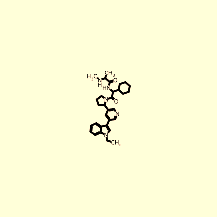 CCn1cc(-c2cncc(C3CCCN3C(=O)C(NC(=O)C(C)NC)C3CCCCC3)c2)c2ccccc21